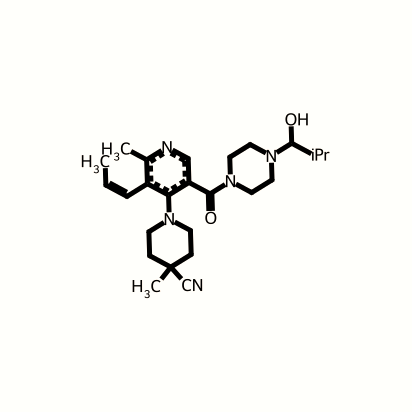 C/C=C\c1c(C)ncc(C(=O)N2CCN(C(O)C(C)C)CC2)c1N1CCC(C)(C#N)CC1